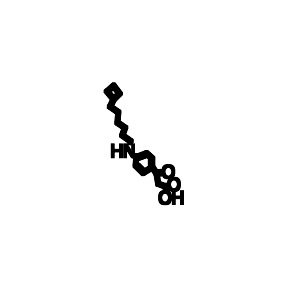 O=C(O)CC(=O)c1ccc(NCCCCCCC2CCC2)cc1